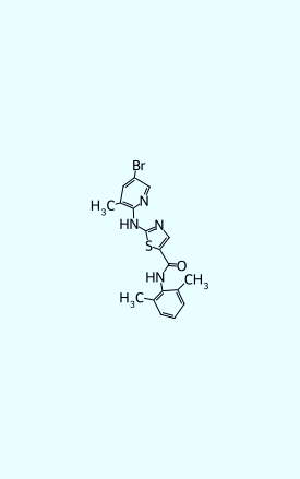 Cc1cc(Br)cnc1Nc1ncc(C(=O)Nc2c(C)cccc2C)s1